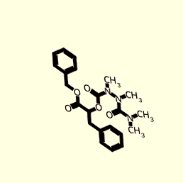 CN(C)C(=O)N(C)N(C)C(=O)OC(Cc1ccccc1)C(=O)OCc1ccccc1